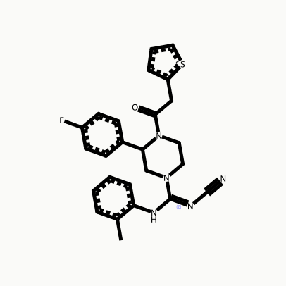 Cc1ccccc1N/C(=N/C#N)N1CCN(C(=O)Cc2cccs2)C(c2ccc(F)cc2)C1